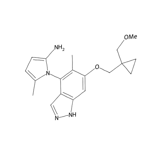 COCC1(COc2cc3[nH]ncc3c(-n3c(C)ccc3N)c2C)CC1